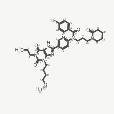 CCCn1c(=O)c2[nH]c(-c3ccc(N(CCCN4CCCCC4=O)C(=O)c4ccc(F)cc4)nc3)nc2n(CCCCOC)c1=O